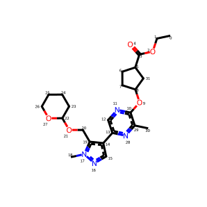 CCOC(=O)C1CCC(Oc2ncc(-c3cnn(C)c3COC3CCCCO3)nc2C)C1